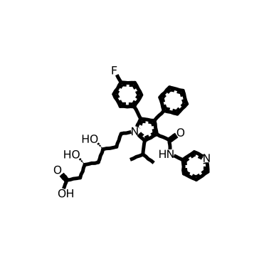 CC(C)c1c(C(=O)Nc2cccnc2)c(-c2ccccc2)c(-c2ccc(F)cc2)n1CC[C@@H](O)C[C@@H](O)CC(=O)O